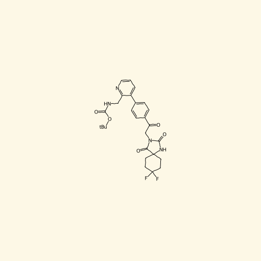 CC(C)(C)OC(=O)NCc1ncccc1-c1ccc(C(=O)CN2C(=O)NC3(CCC(F)(F)CC3)C2=O)cc1